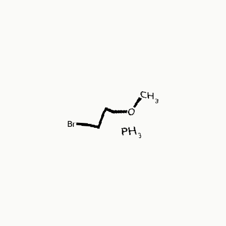 COCCBr.P